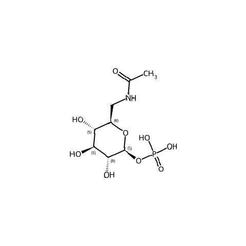 CC(=O)NC[C@H]1O[C@@H](OP(=O)(O)O)[C@H](O)[C@@H](O)[C@@H]1O